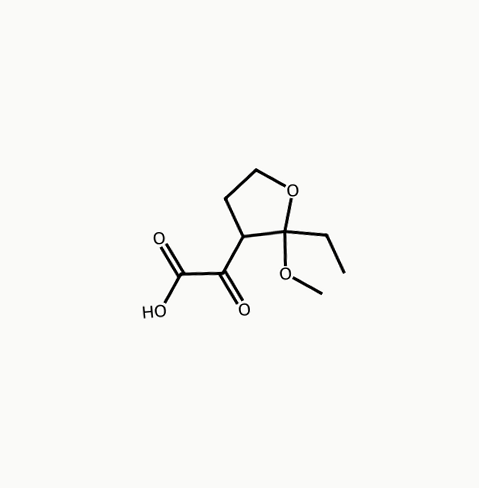 CCC1(OC)OCCC1C(=O)C(=O)O